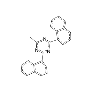 Cc1nc(-c2cccc3ccccc23)nc(-c2cccc3ccccc23)n1